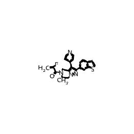 C=C(F)C(=O)N1Cc2c(-c3ccncc3)c(-c3ccc4ccsc4c3)nn2C[C@H]1C